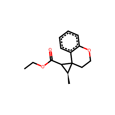 CCOC(=O)C1[C@H](C)C12CCOc1ccccc12